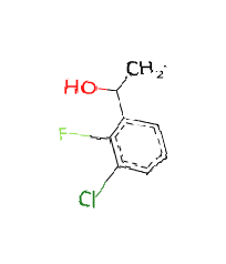 [CH2]C(O)c1cccc(Cl)c1F